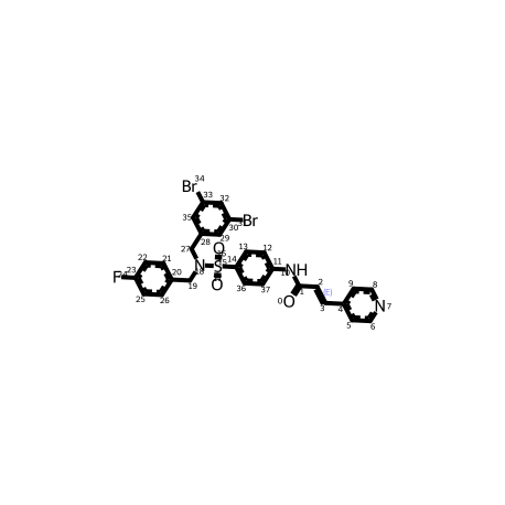 O=C(/C=C/c1ccncc1)Nc1ccc(S(=O)(=O)N(Cc2ccc(F)cc2)Cc2cc(Br)cc(Br)c2)cc1